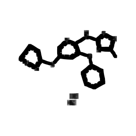 Cc1nsc(Nc2ncc(Sc3ccccn3)cc2Oc2ccccc2)n1.Cl.Cl